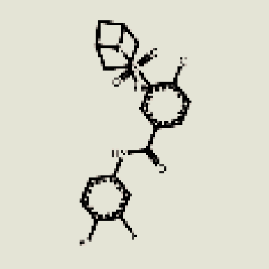 O=C(Nc1ccc(Br)c(F)c1)c1ccc(Cl)c(S(=O)(=O)N2C3CC(O)CC2C3)c1